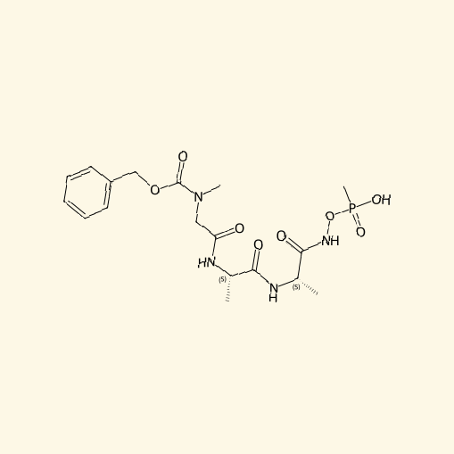 C[C@H](NC(=O)CN(C)C(=O)OCc1ccccc1)C(=O)N[C@@H](C)C(=O)NOP(C)(=O)O